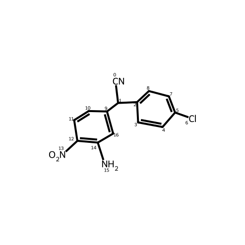 N#CC(c1ccc(Cl)cc1)c1ccc([N+](=O)[O-])c(N)c1